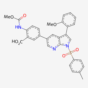 COC(=O)Nc1ccc(-c2cnc3c(c2)c(-c2ccccc2OC)cn3S(=O)(=O)c2ccc(C)cc2)cc1C(=O)O